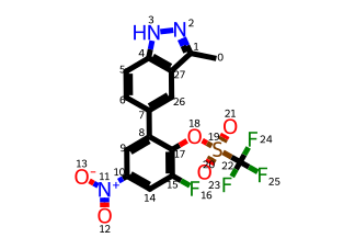 Cc1n[nH]c2ccc(-c3cc([N+](=O)[O-])cc(F)c3OS(=O)(=O)C(F)(F)F)cc12